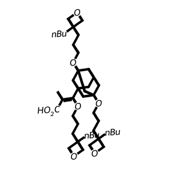 CCCCC1(CCCOC(=C(C)C(=O)O)C23CC4CC(OCCCC5(CCCC)COC5)(CC(OCCCC5(CCCC)COC5)(C4)C2)C3)COC1